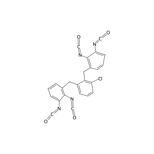 O=C=Nc1cccc(Cc2cccc(Cl)c2Cc2cccc(N=C=O)c2N=C=O)c1N=C=O